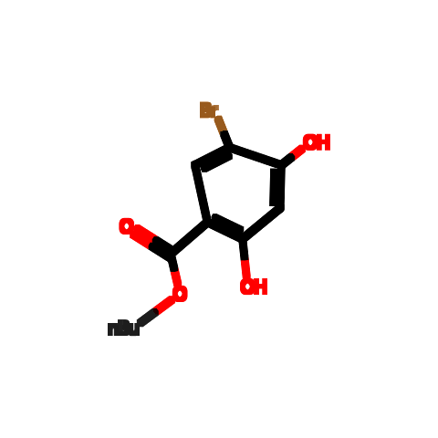 CCCCOC(=O)c1cc(Br)c(O)cc1O